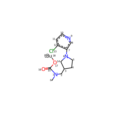 CN(CC1CCN(c2cnccc2Cl)C1)C(=O)OC(C)(C)C